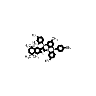 Cc1cc2c3c(c1)N(c1ccc(C(C)(C)C)cc1C)c1c(oc4cc5c(cc14)C(C)(C)CCC5(C)C)B3c1cc(C(C)(C)C)ccc1N2c1ccc(C(C)(C)C)cc1